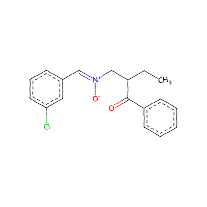 CCC(C[N+]([O-])=Cc1cccc(Cl)c1)C(=O)c1ccccc1